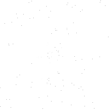 CNc1cc2c(cn1)CN(c1ccc(F)c(N)c1)C(=O)N2C